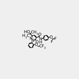 CC(C)(O)c1cc(C(=O)Nc2ccc(OC(F)F)cc2)c(=O)n(-c2ccccc2OCC(F)(F)F)n1